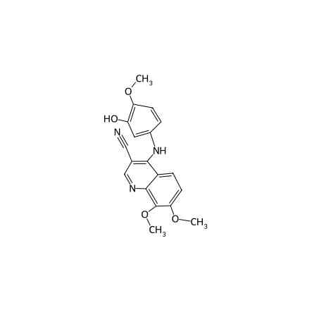 COc1ccc(Nc2c(C#N)cnc3c(OC)c(OC)ccc23)cc1O